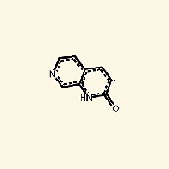 O=c1[c]cc2ccncc2[nH]1